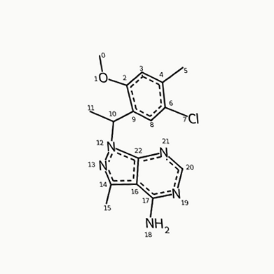 COc1[c]c(C)c(Cl)cc1C(C)n1nc(C)c2c(N)ncnc21